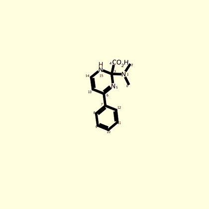 CN(C)C1(C(=O)O)N=C(c2ccccc2)C=CN1